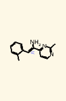 Cc1nccc(/C(N)=C/c2ccccc2C)n1